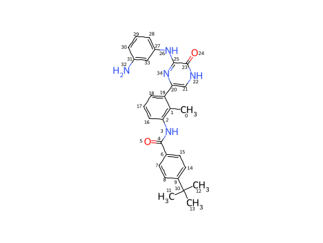 Cc1c(NC(=O)c2ccc(C(C)(C)C)cc2)cccc1-c1c[nH]c(=O)c(Nc2cccc(N)c2)n1